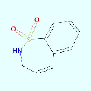 O=S1(=O)NCC=Cc2ccccc21